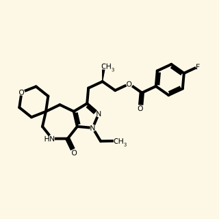 CCn1nc(C[C@@H](C)COC(=O)c2ccc(F)cc2)c2c1C(=O)NCC1(CCOCC1)C2